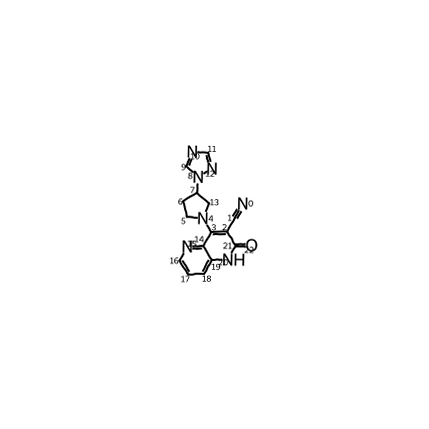 N#Cc1c(N2CCC(n3cncn3)C2)c2ncccc2[nH]c1=O